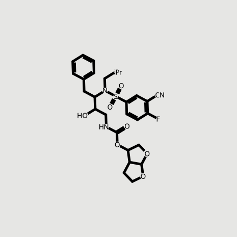 CC(C)CN(C(Cc1ccccc1)C(O)CNC(=O)OC1COC2OCCC12)S(=O)(=O)c1ccc(F)c(C#N)c1